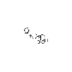 O=C1N(C2CCN(Cc3ccccc3)CC2)CCCC1(Cl)Cl